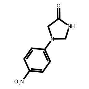 O=C1CN(c2ccc([N+](=O)[O-])cc2)CN1